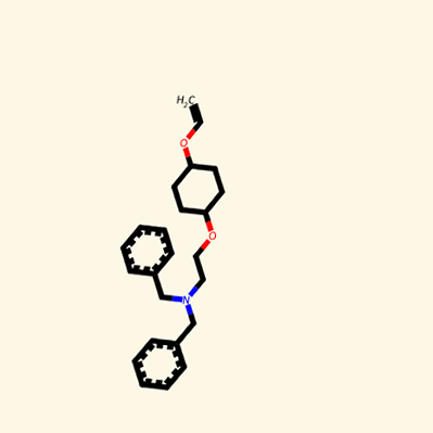 C=COC1CCC(OCCN(Cc2ccccc2)Cc2ccccc2)CC1